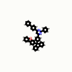 c1ccc(-c2ccc(-c3cc(-c4ccc(C5(c6ccc7c(c6)oc6ccccc67)c6ccccc6-c6ccccc65)cc4)nc(-c4ccccc4)n3)cc2)cc1